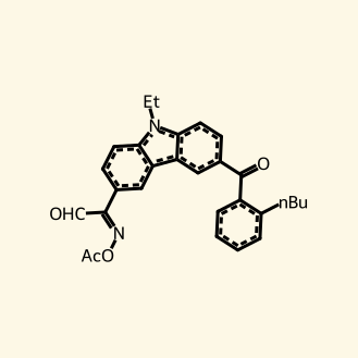 CCCCc1ccccc1C(=O)c1ccc2c(c1)c1cc(C(C=O)=NOC(C)=O)ccc1n2CC